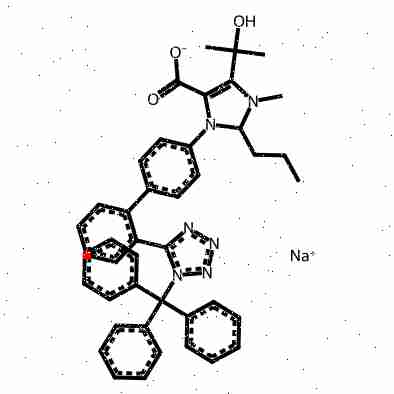 CCCC1N(C)C(C(C)(C)O)=C(C(=O)[O-])N1c1ccc(-c2ccccc2-c2nnnn2C(c2ccccc2)(c2ccccc2)c2ccccc2)cc1.[Na+]